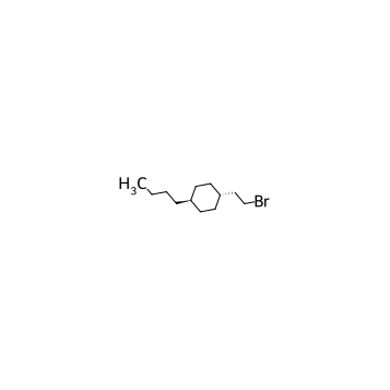 CCCC[C@H]1CC[C@H](CCBr)CC1